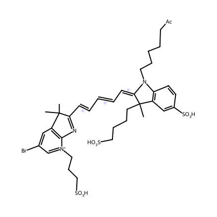 CC(=O)CCCCCN1/C(=C/C=C/C=C/C2=Nc3c(cc(Br)c[n+]3CCCS(=O)(=O)O)C2(C)C)C(C)(CCCCS(=O)(=O)O)c2cc(S(=O)(=O)O)ccc21